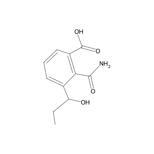 CCC(O)c1cccc(C(=O)O)c1C(N)=O